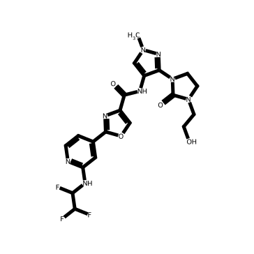 Cn1cc(NC(=O)c2coc(-c3ccnc(NC(F)C(F)F)c3)n2)c(N2CCN(CCO)C2=O)n1